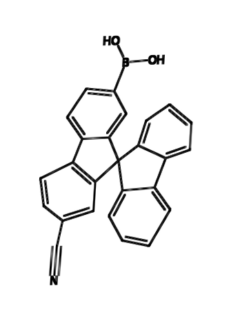 N#Cc1ccc2c(c1)C1(c3ccccc3-c3ccccc31)c1cc(B(O)O)ccc1-2